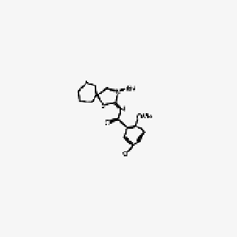 CCCCN1CC2(CCCCC2)SC1=NC(=O)c1cc(Cl)ccc1OC